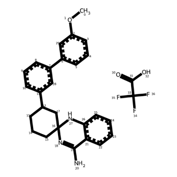 COc1cccc(-c2cccc(C3CCCC4(C3)N=C(N)c3ccccc3N4)c2)c1.O=C(O)C(F)(F)F